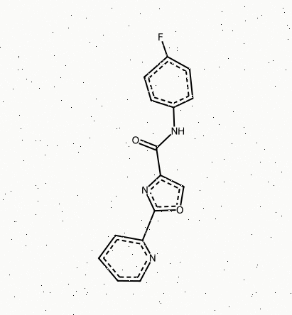 O=C(Nc1ccc(F)cc1)c1coc(-c2ccccn2)n1